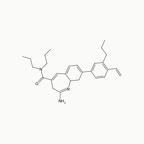 C=Cc1ccc(C2=CC=C3C=C(C(=O)N(CCC)CCC)CC(N)=NC3C2)cc1CCC